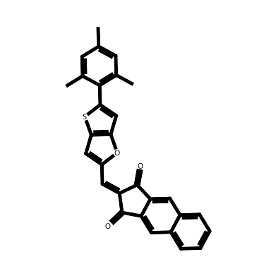 Cc1cc(C)c(-c2cc3oc(C=C4C(=O)c5cc6ccccc6cc5C4=O)cc3s2)c(C)c1